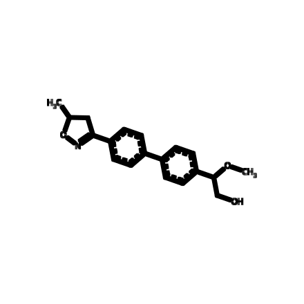 COC(CO)c1ccc(-c2ccc(C3=NOC(C)C3)cc2)cc1